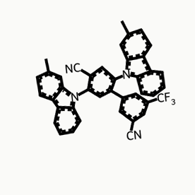 Cc1ccc2c3ccccc3n(-c3cc(-c4cc(C#N)cc(C(F)(F)F)c4)c(-n4c5ccccc5c5ccc(C)cc54)cc3C#N)c2c1